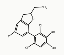 NCC1Cc2cc(F)cc(-c3c(Cl)cc(O)c(O)c3Cl)c2O1